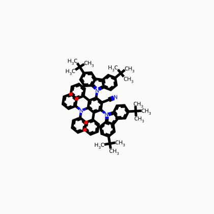 CC(C)(C)c1ccc2c(c1)c1cc(C(C)(C)C)ccc1n2-c1c(C#N)c(-n2c3ccc(C(C)(C)C)cc3c3cc(C(C)(C)C)ccc32)c(-c2ccccc2)c(N(c2ccccc2)c2ccccc2)c1-c1ccccc1